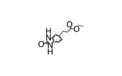 CCOC(=O)CCc1ccc2[nH]c(=O)[nH]c2c1